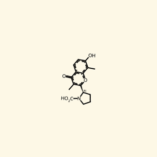 Cc1c([C@H]2CCCN2C(=O)O)oc2c(C)c(O)ccc2c1=O